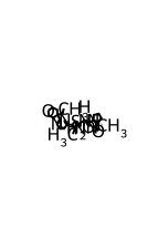 CCC1(c2nccc(-c3sc(NC(=O)N4CCC[C@@]4(C)C(N)=O)nc3C)n2)CCOCC1